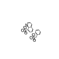 O=S(=O)(Cl)Cc1ccccc1.O=S(=O)(Cl)c1cccc2cccnc12